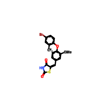 COc1cc(C=C2SC(=O)NC2=O)ccc1Oc1ccc(Br)cc1C(F)(F)F